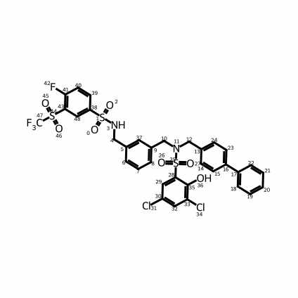 O=S(=O)(NCc1cccc(CN(Cc2ccc(-c3ccccc3)cc2)S(=O)(=O)c2cc(Cl)cc(Cl)c2O)c1)c1ccc(F)c(S(=O)(=O)C(F)(F)F)c1